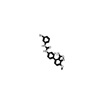 COc1ccc(-c2ccc(NC(=O)Nc3cccc(Br)c3)cc2)c2c(N)onc12